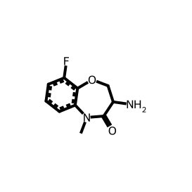 CN1C(=O)C(N)COc2c(F)cccc21